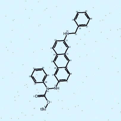 CC(C)(C)OC(=O)N(Nc1ccc2cc3cc(NCc4ccccc4)ccc3cc2c1)c1ccccc1